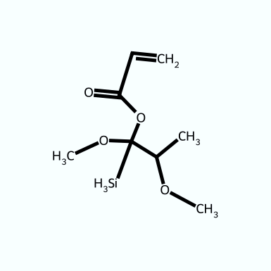 C=CC(=O)OC([SiH3])(OC)C(C)OC